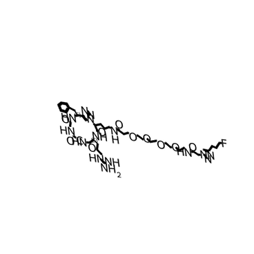 N=C(N)NCCC[C@@H]1NC(=O)C(CCCNC(=O)CCOCCOCCOCCOCCNC(=O)Cn2cc(CCCF)nn2)n2cc(nn2)[C@H](Cc2ccccc2)NC(=O)CNC(=O)CNC1=O